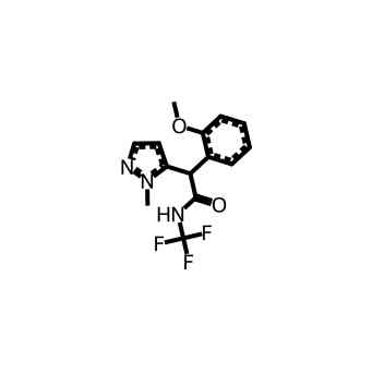 COc1ccccc1C(C(=O)NC(F)(F)F)c1ccnn1C